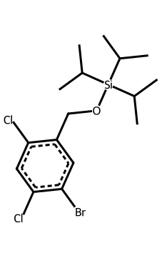 CC(C)[Si](OCc1cc(Br)c(Cl)cc1Cl)(C(C)C)C(C)C